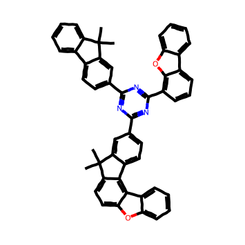 CC1(C)c2ccccc2-c2ccc(-c3nc(-c4ccc5c(c4)C(C)(C)c4ccc6oc7ccccc7c6c4-5)nc(-c4cccc5c4oc4ccccc45)n3)cc21